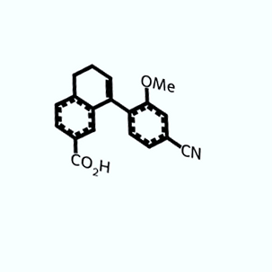 COc1cc(C#N)ccc1C1=CCCc2ccc(C(=O)O)cc21